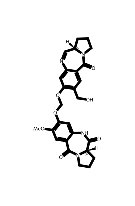 COc1cc2c(cc1OCOc1cc3c(cc1CO)C(=O)N1CCC[C@H]1C=N3)NC(=O)[C@@H]1CCCN1C2=O